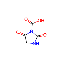 O=C(O)N1C(=O)CNC1=O